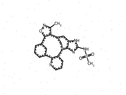 Cc1noc2c3cccc(c3)c3ncccc3c3cc(cc4[nH]c(NS(C)(=O)=O)nc43)c12